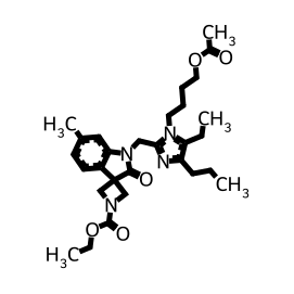 CCCc1nc(CN2C(=O)C3(CN(C(=O)OCC)C3)c3ccc(C)cc32)n(CCCCOC(C)=O)c1CC